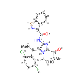 CNC(=O)c1nc(NC(=O)c2nsc3ccccc23)c(C(NC)c2cc(F)ccc2Cl)n1CC=O